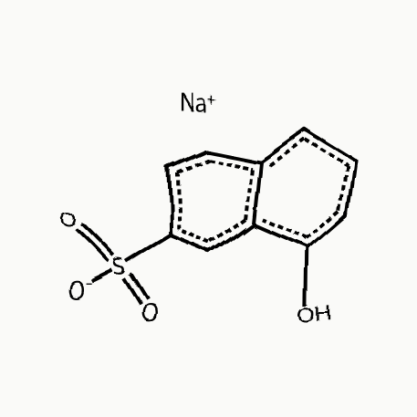 O=S(=O)([O-])c1ccc2cccc(O)c2c1.[Na+]